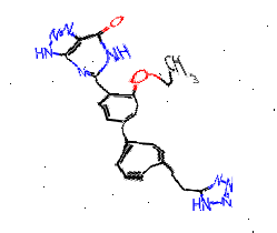 CCOc1cc(-c2cccc(CCc3nnn[nH]3)c2)ccc1-c1nc2[nH]nnc2c(=O)[nH]1